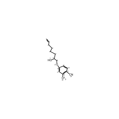 C=CCCCCC(O)COc1ccc(C#N)c(C(F)(F)F)c1